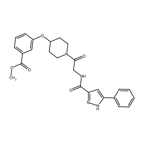 COC(=O)c1cccc(OC2CCN(C(=O)CNC(=O)c3cc(-c4ccccc4)[nH]n3)CC2)c1